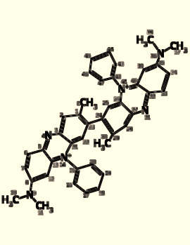 Cc1cc2nc3ccc(N(C)C)cc3[n+](-c3ccccc3)c2cc1-c1cc2c(cc1C)nc1ccc(N(C)C)cc1[n+]2-c1ccccc1